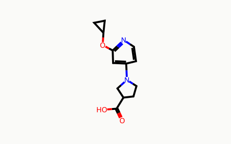 O=C(O)C1CCN(c2ccnc(OC3CC3)c2)C1